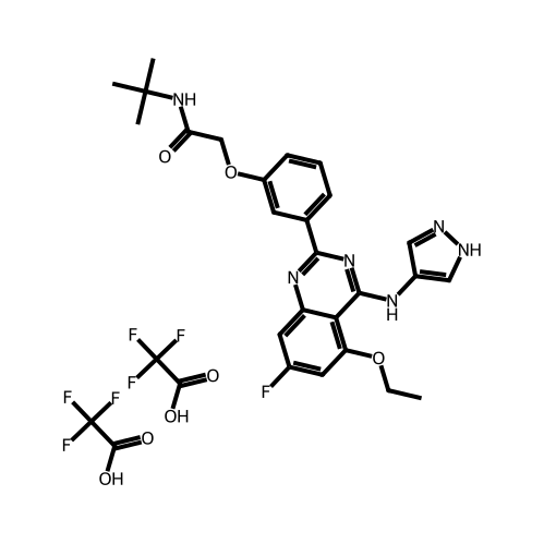 CCOc1cc(F)cc2nc(-c3cccc(OCC(=O)NC(C)(C)C)c3)nc(Nc3cn[nH]c3)c12.O=C(O)C(F)(F)F.O=C(O)C(F)(F)F